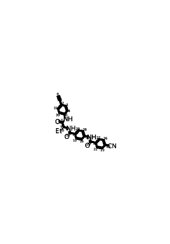 C#Cc1ccc(NC(=O)[C@H](CC)NC(=O)c2ccc(NC(=O)c3ccc(C#N)cc3)cc2)cc1